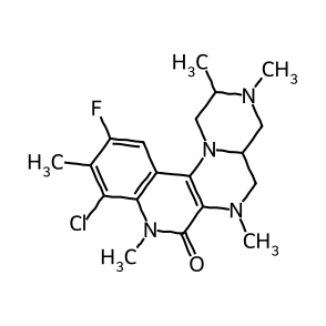 Cc1c(F)cc2c3c(c(=O)n(C)c2c1Cl)N(C)CC1CN(C)C(C)CN31